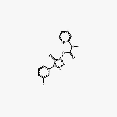 CN(C(=O)On1nnn(-c2cccc(F)c2)c1=O)c1ccccn1